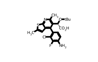 Cc1cc2c(-c3ccc(N)c(F)c3Cl)c([C@H](OC(C)(C)C)C(=O)O)c(C)nc2s1